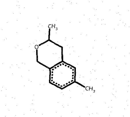 Cc1ccc2c(c1)CC(C)OC2